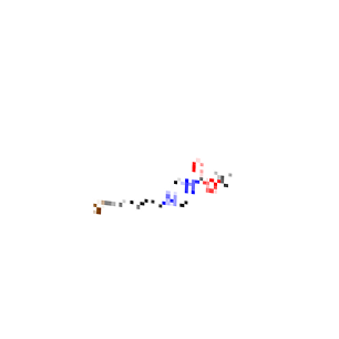 CC(C)(C)OC(=O)N1CCN(CCCCCC=S)CC1